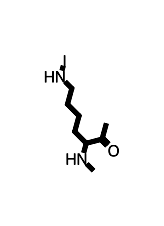 CNC(CCCCNI)C(C)=O